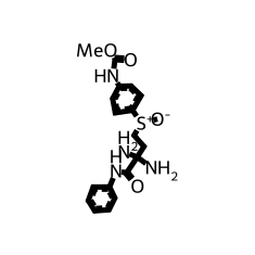 COC(=O)Nc1ccc([S+]([O-])CCC(N)(N)C(=O)Nc2ccccc2)cc1